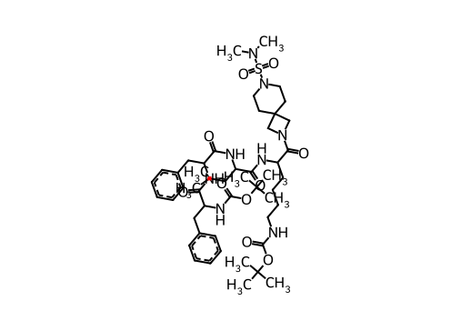 CC(C)CC(NC(=O)C(Cc1ccccc1)NC(=O)C(Cc1ccccc1)NC(=O)OC(C)(C)C)C(=O)NC(CCCCNC(=O)OC(C)(C)C)C(=O)N1CC2(CCN(S(=O)(=O)N(C)C)CC2)C1